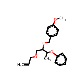 C=CCOCC(OCc1ccc(OC)cc1)C(C)Oc1ccccc1